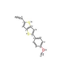 CCCCCCc1cc2sc(-c3ccc(OCC)cc3)cc2s1